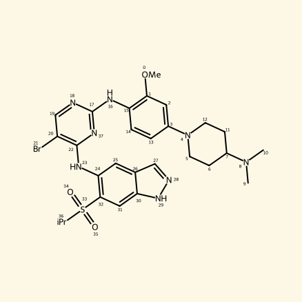 COc1cc(N2CCC(N(C)C)CC2)ccc1Nc1ncc(Br)c(Nc2cc3cn[nH]c3cc2S(=O)(=O)C(C)C)n1